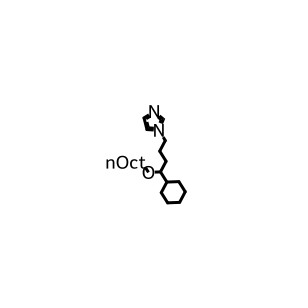 CCCCCCCCOC(CCCn1ccnc1)C1CCCCC1